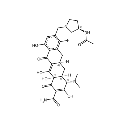 CC(=O)N[C@@H]1CCN(Cc2cc(O)c3c(c2F)C[C@H]2C[C@H]4[C@H](N(C)C)C(O)=C(C(N)=O)C(=O)[C@@]4(O)C(O)=C2C3=O)C1